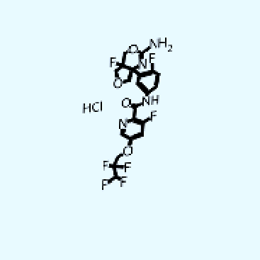 Cl.NC1=NC2(c3cc(NC(=O)c4ncc(OCC(F)(F)C(F)F)cc4F)ccc3F)COCC2(F)CO1